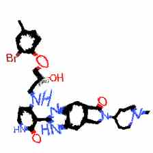 Cc1ccc(OC[C@H](O)CNc2cc[nH]c(=O)c2-c2nc3cc4c(cc3[nH]2)CN(C2CCN(C)CC2)C4=O)c(Br)c1